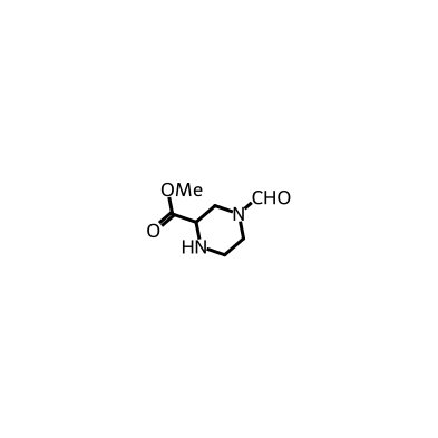 COC(=O)C1CN(C=O)CCN1